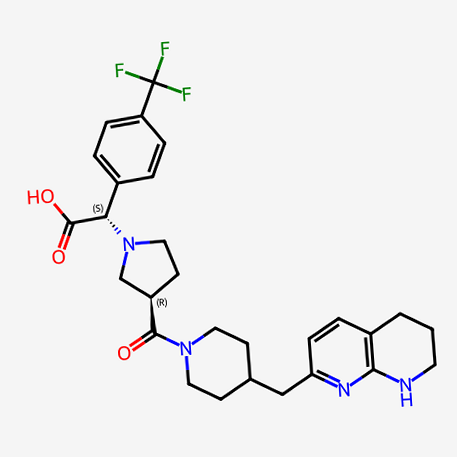 O=C(O)[C@H](c1ccc(C(F)(F)F)cc1)N1CC[C@@H](C(=O)N2CCC(Cc3ccc4c(n3)NCCC4)CC2)C1